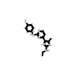 CCNc1nc(C)c(-c2ccnc(Nc3ccc(F)cc3)n2)s1